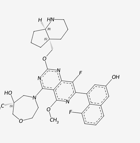 COc1nc(-c2cc(O)cc3cccc(F)c23)c(F)c2nc(OC[C@@]34CCCN[C@@H]3CCC4)nc(N3CCOC[C@@](C)(O)C3)c12